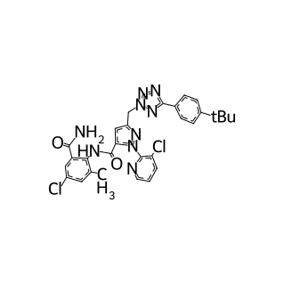 Cc1cc(Cl)cc(C(N)=O)c1NC(=O)c1cc(Cn2nnc(-c3ccc(C(C)(C)C)cc3)n2)nn1-c1ncccc1Cl